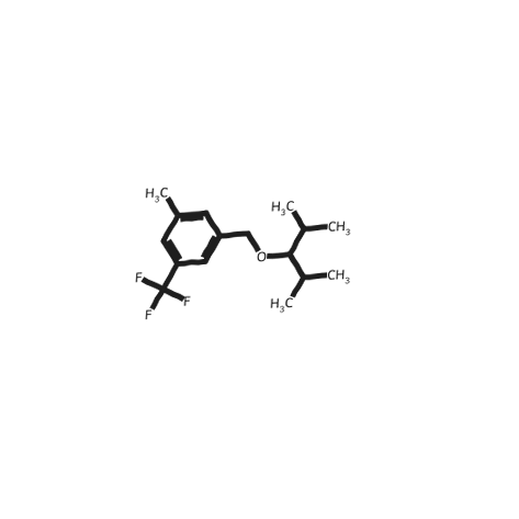 Cc1cc(COC(C(C)C)C(C)C)cc(C(F)(F)F)c1